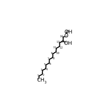 CCCCCCCCCCCCCCC(O)COO